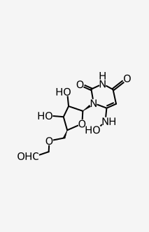 O=CCOC[C@@H]1O[C@H](n2c(NO)cc(=O)[nH]c2=O)C(O)C1O